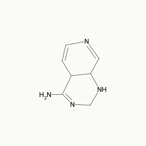 NC1=NCNC2C=NC=CC12